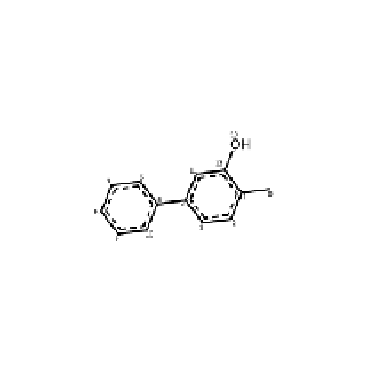 Cc1ccc(-c2ccccc2)cc1O